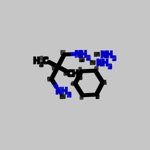 C1CCCCC1.CC(C)(CN)CN.N.N